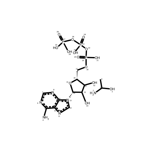 CC(N)O.Nc1ncnc2c1ncn2[C@@H]1O[C@H](COP(=O)(O)OP(=O)(O)OP(=O)(O)O)C(O)C1O